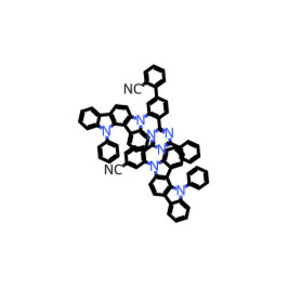 N#Cc1ccc(-c2nc(-c3ccccc3)nc(-c3ccc(-c4ccccc4C#N)cc3-n3c4ccccc4c4c3ccc3c5ccccc5n(-c5ccccc5)c34)n2)c(-n2c3ccccc3c3c2ccc2c4ccccc4n(-c4ccccc4)c23)c1